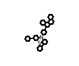 c1ccc(-c2ccc(N(c3ccc(-c4cc5ccc6ccccc6c5c5ccccc45)cc3)c3cccc4c3sc3ccccc34)cc2)cc1